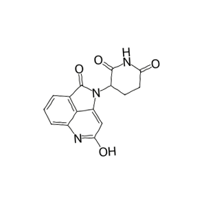 O=C1CCC(N2C(=O)c3cccc4nc(O)cc2c34)C(=O)N1